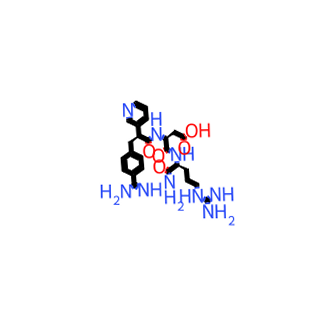 N=C(N)NCCC[C@H](NC(=O)[C@H](CC(=O)O)NC(=O)[C@@H](Cc1ccc(C(=N)N)cc1)c1cccnc1)C(N)=O